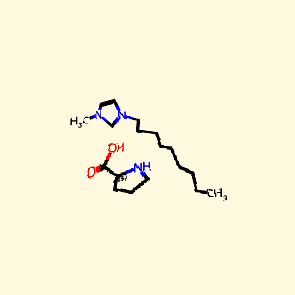 CCCCCCCCCN1C=CN(C)C1.O=C(O)[C@@H]1CCCN1